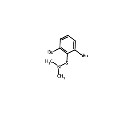 CCC(C)c1cccc(C(C)CC)c1[S][Bi]([CH3])[CH3]